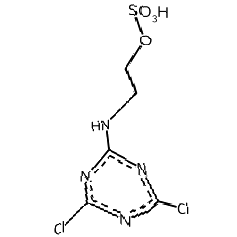 O=S(=O)(O)OCCNc1nc(Cl)nc(Cl)n1